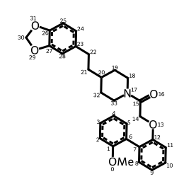 COc1ccccc1-c1ccccc1OCC(=O)N1CCC(CCc2ccc3c(c2)OCO3)CC1